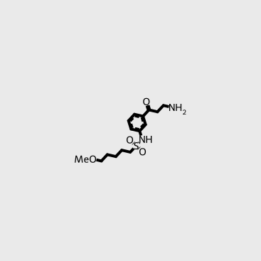 COCCCCCS(=O)(=O)Nc1cccc(C(=O)CCN)c1